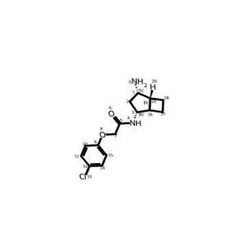 N[C@H]1C[C@@H](NC(=O)COc2ccc(Cl)cc2)C2CC[C@H]21